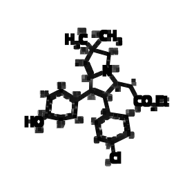 CCOC(=O)CC1C(c2ccc(Cl)cc2)=C(c2ccc(O)cc2)C2=CC(C)(C)CN21